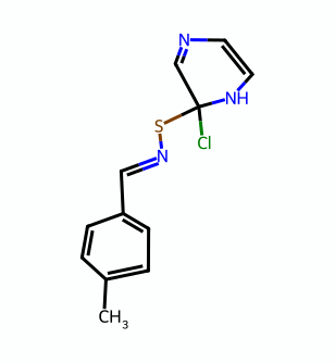 Cc1ccc(C=NSC2(Cl)C=NC=CN2)cc1